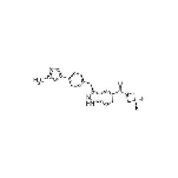 Cn1cc(-c2ccc(Cc3n[nH]c4ccc(C(=O)N5CC(F)(F)C5)cc34)cc2)cn1